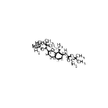 Cc1c(NC(=O)OC(C)(C)C)ccc2c1OC(C(O[SiH](C)C)C(C)(C)C)CC2